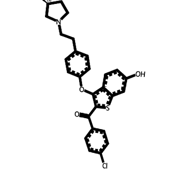 C[C@H]1CCN(CCc2ccc(Oc3c(C(=O)c4ccc(Cl)cc4)sc4cc(O)ccc34)cc2)C1